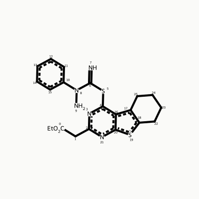 CCOC(=O)Cc1nc(SC(=N)N(N)c2ccccc2)c2c3c(sc2n1)CCCC3